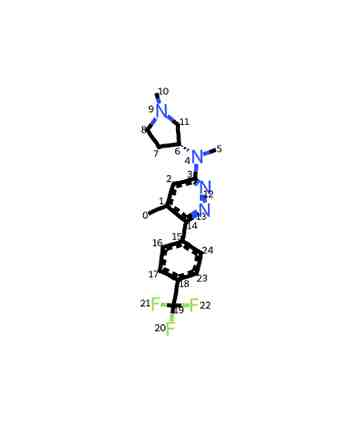 Cc1cc(N(C)[C@@H]2CCN(C)C2)nnc1-c1ccc(C(F)(F)F)cc1